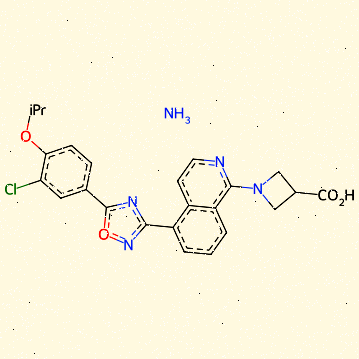 CC(C)Oc1ccc(-c2nc(-c3cccc4c(N5CC(C(=O)O)C5)nccc34)no2)cc1Cl.N